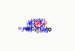 C[C@H](NC(=O)CNC(=O)[C@H](Cc1c[nH]c2ccccc12)NC(=O)[C@@H](N)CC(=O)O)C(=O)N[C@@H](Cc1c[nH]cn1)C(=O)N[C@@H](CCCNC(=N)N)C(=O)N[C@@H](CS)C(=O)O